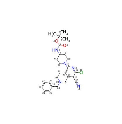 CC(C)(C)OC(=O)NC1CCN(c2nc(Cl)c(C#N)c3c2CCN(Cc2ccccc2)C3)CC1